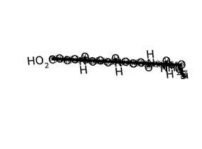 C[Si](C)(C)CCOC(=O)CCCNC(=O)C(N)CCCCNC(=O)CCOCCOCCOCCNC(=O)CCOCCOCCOCCC(=O)NCCOCCOCCOCCC(=O)O